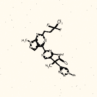 CC(C)n1cc(C2(C)C(=O)Nc3nc(-c4nc(CCC(F)(F)C(F)(F)F)nc5c4cnn5C)ncc32)nn1